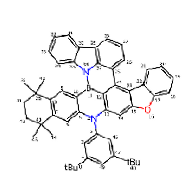 CC(C)(C)c1cc(N2c3cc4c(cc3B3c5c2cc2oc6ccccc6c2c5-c2cccc5c6ccccc6n3c25)C(C)(C)CCC4(C)C)cc(C(C)(C)C)c1